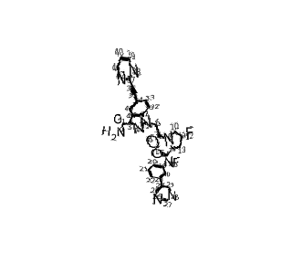 NC(=O)c1nn(CC(=O)N2C[C@H](F)C[C@H]2C(=O)N(F)c2cccc(-c3cncnc3)c2)c2ccc(C#Cc3ncccn3)cc12